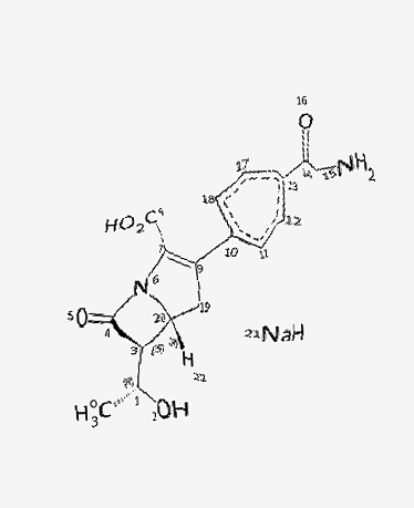 C[C@@H](O)[C@H]1C(=O)N2C(C(=O)O)=C(c3ccc(C(N)=O)cc3)C[C@H]12.[NaH]